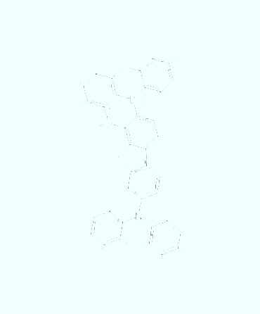 c1ccc(N(c2ccccc2)c2ccc3c(c2)sc2c4c(ccc23)B2c3ccccc3Oc3cccc(c32)O4)cc1